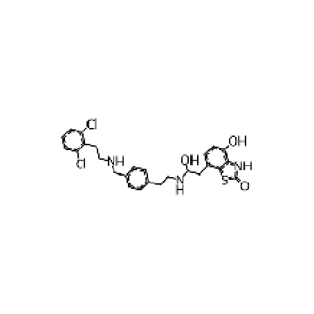 O=c1[nH]c2c(O)ccc(CC(O)NCCc3ccc(CNCCc4c(Cl)cccc4Cl)cc3)c2s1